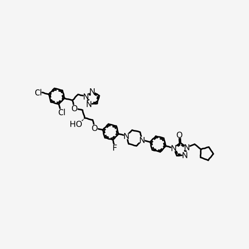 O=c1n(-c2ccc(N3CCN(c4ccc(OC[C@H](O)COC(Cn5nccn5)c5ccc(Cl)cc5Cl)cc4F)CC3)cc2)cnn1CC1CCCC1